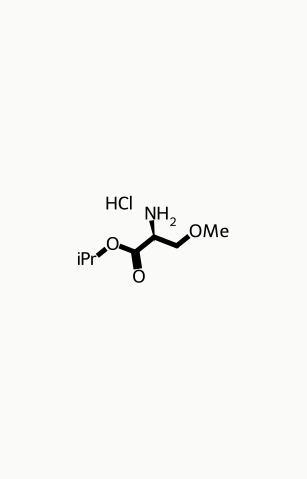 COC[C@H](N)C(=O)OC(C)C.Cl